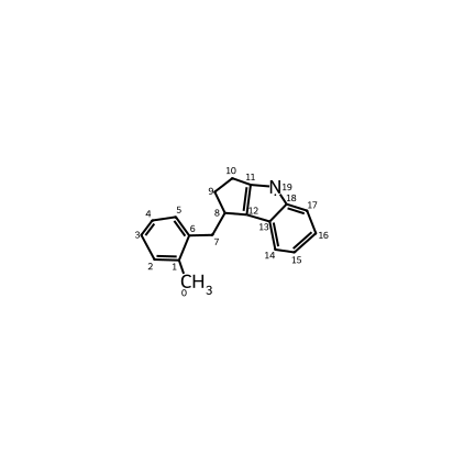 Cc1ccccc1CC1CCC2=C1c1ccccc1[N]2